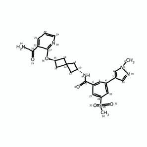 Cn1cc(-c2cc(C(=O)N[C@H]3CC4(C3)C[C@H](Oc3ncccc3C(N)=O)C4)cc(S(C)(=O)=O)c2)cn1